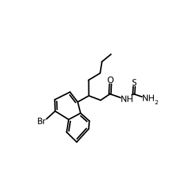 CCCCC(CC(=O)NC(N)=S)c1ccc(Br)c2ccccc12